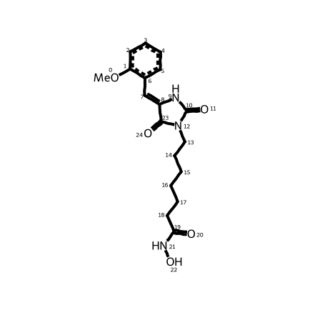 COc1ccccc1/C=C1\NC(=O)N(CCCCCCC(=O)NO)C1=O